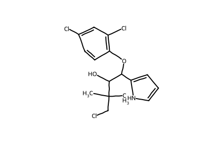 CC(C)(CCl)C(O)C(Oc1ccc(Cl)cc1Cl)c1ccc[nH]1